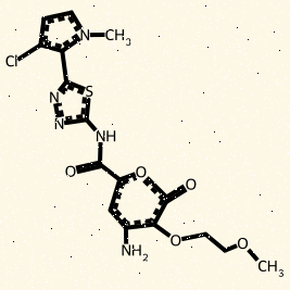 COCCOc1c(N)cc(C(=O)Nc2nnc(-c3c(Cl)ccn3C)s2)oc1=O